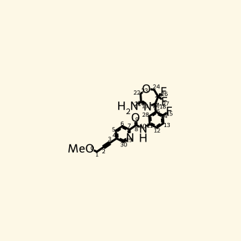 COCC#Cc1ccc(C(=O)Nc2ccc(F)c([C@@]3(C)N=C(N)COCC3(F)F)c2)nc1